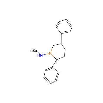 CCCCNP1CC(c2ccccc2)CCC1c1ccccc1